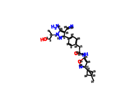 CC(CO)n1nc(-c2ccc(CC(=O)Nc3cc(C45CC(C)(C4)C5)no3)cc2)c(C#N)c1N